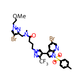 COCCn1cc(Br)c(CN(C)C(=O)CCCn2cc(-c3cn(S(=O)(=O)c4ccc(C)cc4)c4ncc(Br)cc34)c(C(F)(F)F)n2)n1